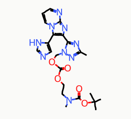 Cc1nc(-c2nc3ncccn3c2-c2cnc[nH]2)n(COC(=O)OCCN(C)C(=O)OC(C)(C)C)n1